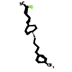 N#CC(F)=CCC[C@H]1CC[C@H](CCCCc2ccc(C(F)(F)F)cc2)CC1